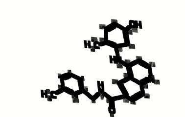 Cc1cccc(CNC(=O)c2ccc3nccc(Nc4cc(O)ccc4C)c3c2)n1